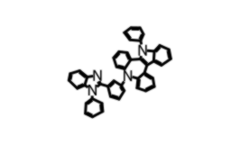 c1ccc(-n2c(-c3cccc(N4c5ccccc5-c5c(n(-c6ccccc6)c6ccccc56)-c5ccccc54)c3)nc3ccccc32)cc1